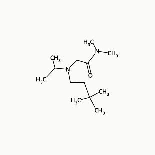 CC(C)N(CCC(C)(C)C)CC(=O)N(C)C